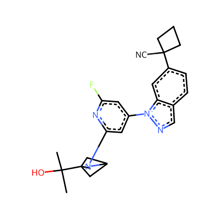 CC(C)(O)C12CC(C1)N(c1cc(-n3ncc4ccc(C5(C#N)CCC5)cc43)cc(F)n1)C2